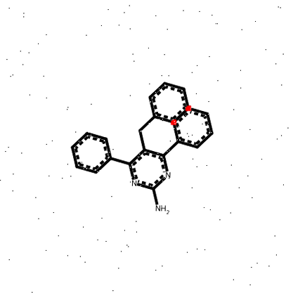 Nc1nc(-c2ccccc2)c(Cc2ccccc2)c(-c2cccnc2)n1